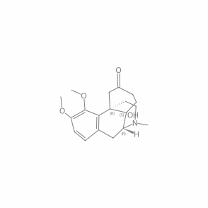 COc1ccc2c(c1OC)[C@]13CCN(C)[C@H](C2)[C@]1(O)CCC(=O)C3